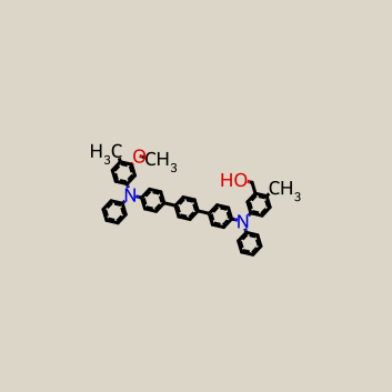 COc1cc(N(c2ccccc2)c2ccc(-c3ccc(-c4ccc(N(c5ccccc5)c5ccc(C)c(CO)c5)cc4)cc3)cc2)ccc1C